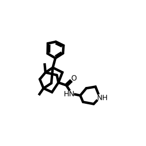 CC12CC3(C(=O)NC4CCNCC4)CC(C)(C1)C(c1ccccc1)(C2)C3